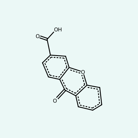 O=C(O)c1ccc2c(=O)c3ccccc3oc2c1